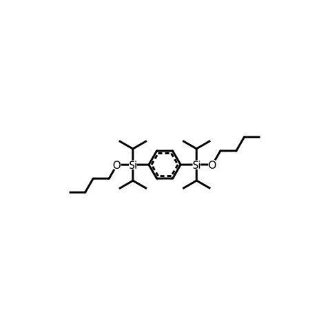 CCCCO[Si](c1ccc([Si](OCCCC)(C(C)C)C(C)C)cc1)(C(C)C)C(C)C